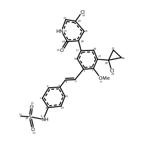 COc1c(C=Cc2ccc(NS(C)(=O)=O)cc2)cc(-c2cc(Cl)c[nH]c2=O)cc1C1(Cl)CC1